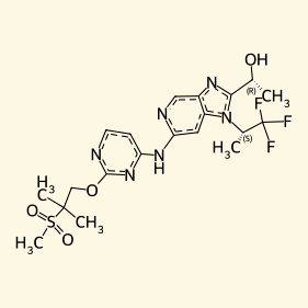 C[C@H](n1c([C@@H](C)O)nc2cnc(Nc3ccnc(OCC(C)(C)S(C)(=O)=O)n3)cc21)C(F)(F)F